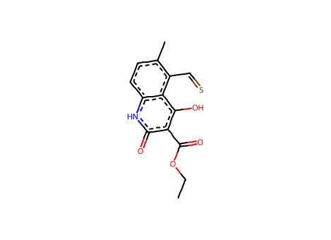 CCOC(=O)c1c(O)c2c(C=S)c(C)ccc2[nH]c1=O